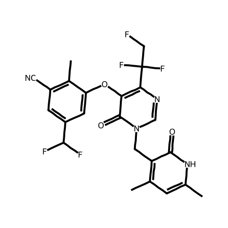 Cc1cc(C)c(Cn2cnc(C(F)(F)CF)c(Oc3cc(C(F)F)cc(C#N)c3C)c2=O)c(=O)[nH]1